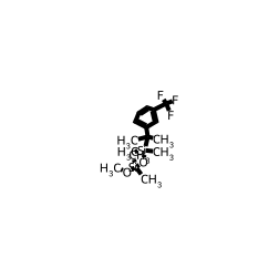 CO[Si](C)(C)O[Si](C)(C)C(C)(C)c1cccc(C(F)(F)F)c1